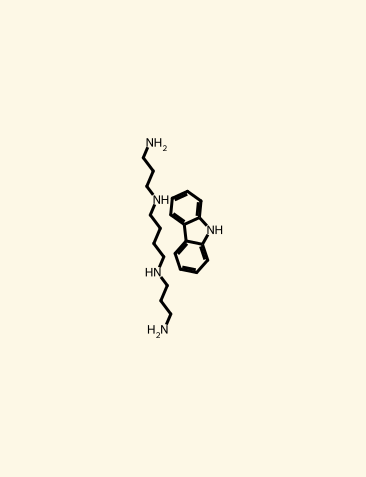 NCCCNCCCCNCCCN.c1ccc2c(c1)[nH]c1ccccc12